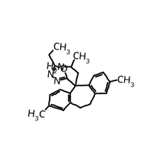 CCc1nnc(C2(CC(C)N)c3ccc(C)cc3CCc3cc(C)ccc32)o1